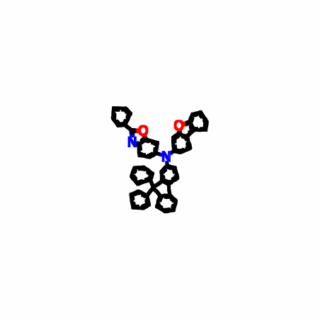 c1ccc(-c2nc3ccc(N(c4ccc5c(c4)C(c4ccccc4)(c4ccccc4)c4ccccc4-5)c4ccc5c(c4)oc4ccccc45)cc3o2)cc1